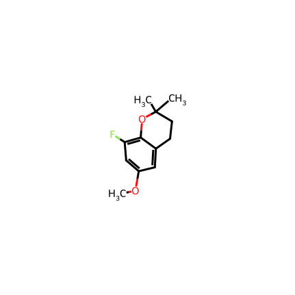 COc1cc(F)c2c(c1)CCC(C)(C)O2